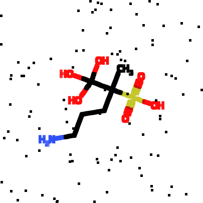 CC(CCCN)(C(O)(O)O)S(=O)(=O)O